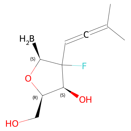 B[C@@H]1O[C@H](CO)[C@H](O)C1(F)C=C=C(C)C